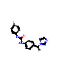 CC(C)C(c1ccc(NC(=O)Nc2ccc(F)cc2)cc1)n1ccnc1